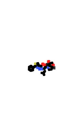 CC(C)C[C@H](NC(=O)c1csc(-c2ccccc2)n1)C(=O)N1CC[C@H]2OCC(=O)[C@H]21